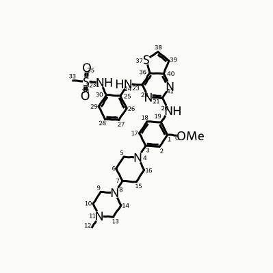 COc1cc(N2CCC(N3CCN(C)CC3)CC2)ccc1Nc1nc(Nc2ccccc2NS(C)(=O)=O)c2sccc2n1